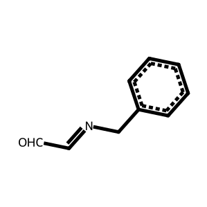 O=CC=NCc1ccccc1